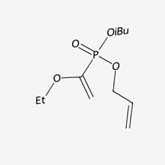 C=CCOP(=O)(OCC(C)C)C(=C)OCC